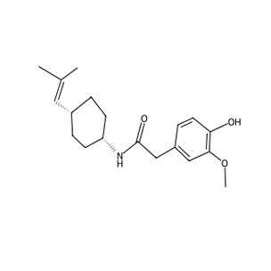 COc1cc(CC(=O)N[C@H]2CC[C@@H](C=C(C)C)CC2)ccc1O